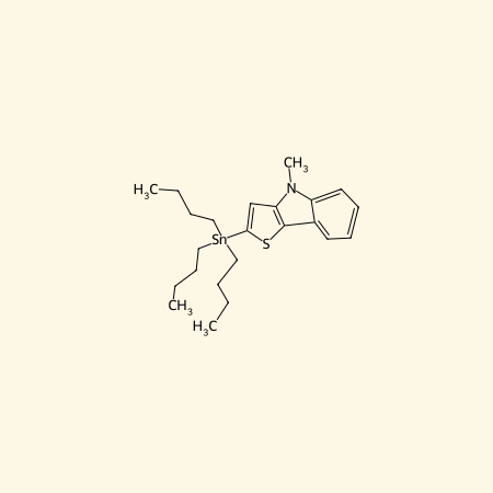 CCC[CH2][Sn]([CH2]CCC)([CH2]CCC)[c]1cc2c(s1)c1ccccc1n2C